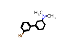 CN(C)C1CCC=C(c2cccc(Br)c2)C1